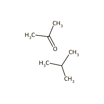 CC(C)=O.CC(C)C